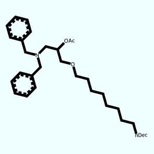 CCCCCCCCCCCCCCCCCCOCC(CN(Cc1ccccc1)Cc1ccccc1)OC(C)=O